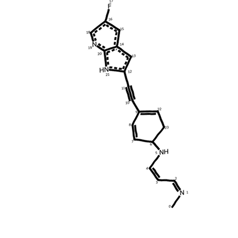 C/N=C\C=C/NC1C=CC(C#Cc2cc3cc(F)cnc3[nH]2)=CC1